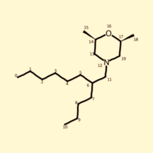 CCCCCCC(CCCC)CN1C[C@@H](C)O[C@@H](C)C1